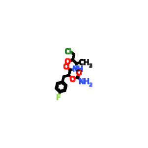 CC(NC(=O)C(Cc1ccc(F)cc1)OC(N)=O)C(=O)CCl